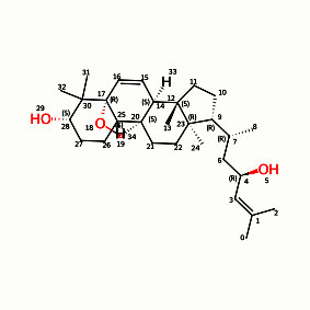 CC(C)=C[C@H](O)C[C@@H](C)[C@H]1CC[C@@]2(C)[C@@H]3C=C[C@@]45OC[C@]3(CC[C@]12C)[C@@H]4CC[C@H](O)C5(C)C